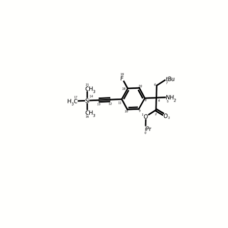 CC(C)OC(=O)C(N)(CC(C)(C)C)c1ccc(C#C[Si](C)(C)C)c(F)c1